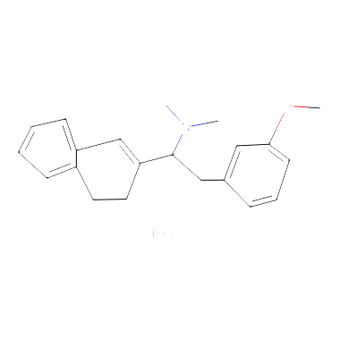 COc1cccc(CC(C2=Cc3ccccc3CC2)N(C)C)c1.Cl